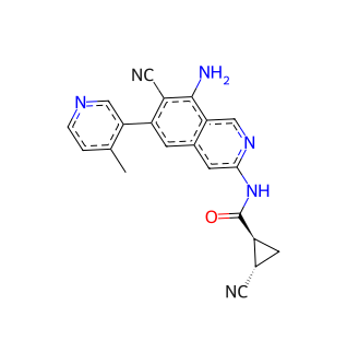 Cc1ccncc1-c1cc2cc(NC(=O)[C@H]3C[C@@H]3C#N)ncc2c(N)c1C#N